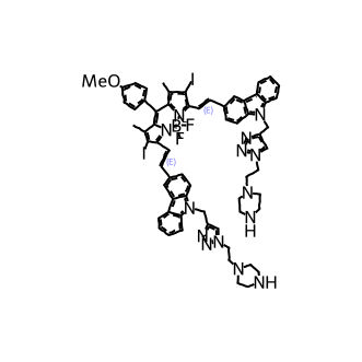 COc1ccc(C2=C3C(C)=C(I)C(/C=C/c4ccc5c(c4)c4ccccc4n5Cc4cn(CCN5CCNCC5)nn4)=[N+]3[B-](F)(F)n3c(/C=C/c4ccc5c(c4)c4ccccc4n5Cc4cn(CCN5CCNCC5)nn4)c(I)c(C)c32)cc1